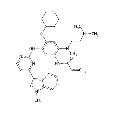 C=CC(=O)Nc1cc(Nc2nccc(-c3cn(C)c4ccccc34)n2)c(OC2CCCCC2)cc1N(C)CCN(C)C